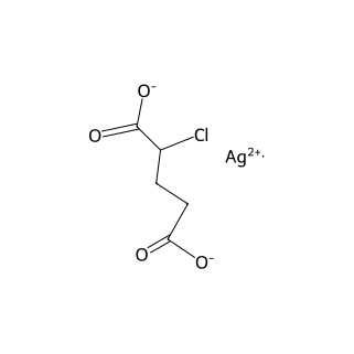 O=C([O-])CCC(Cl)C(=O)[O-].[Ag+2]